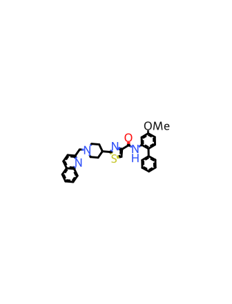 COc1ccc(-c2ccccc2)c(NC(=O)c2csc(C3CCN(Cc4ccc5ccccc5n4)CC3)n2)c1